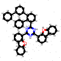 c1ccc(-c2cccc(-c3cccc(-c4nc(-c5cccc6c5oc5ccccc56)nc(-c5cccc6c5oc5ccccc56)n4)c3-c3ccccc3)c2)cc1